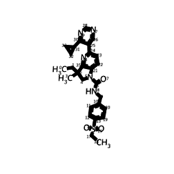 CCC1(C)CN(C(=O)NCc2ccc(S(=O)(=O)CC)cc2)c2ccc(-c3cncnc3C3CC3)nc21